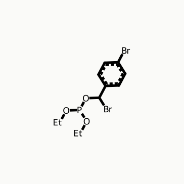 CCOP(OCC)OC(Br)c1ccc(Br)cc1